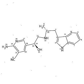 C[C@H](Cc1c[nH]c2ccccc12)NC[C@@H](O)c1cnc(N)c(C#N)c1